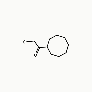 O=C(CCl)C1CCCCCCC1